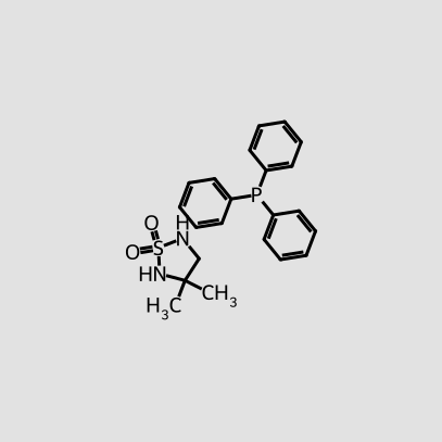 CC1(C)CNS(=O)(=O)N1.c1ccc(P(c2ccccc2)c2ccccc2)cc1